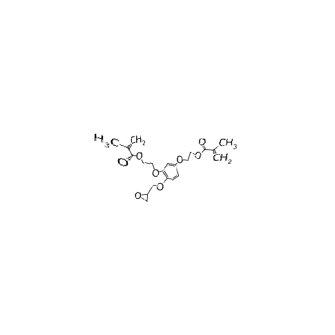 C=C(C)C(=O)OCCOc1ccc(OCC2CO2)c(OCCOC(=O)C(=C)C)c1